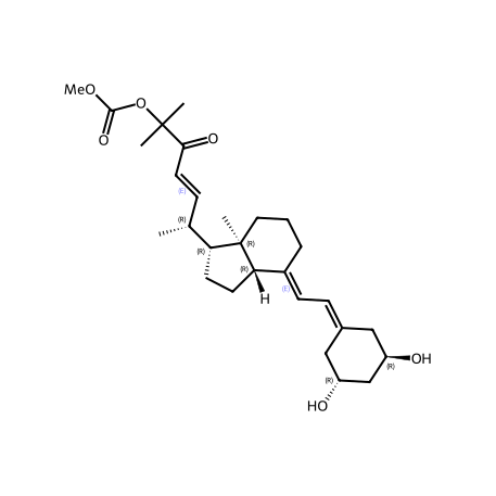 COC(=O)OC(C)(C)C(=O)/C=C/[C@@H](C)[C@H]1CC[C@H]2/C(=C/C=C3C[C@@H](O)C[C@H](O)C3)CCC[C@]12C